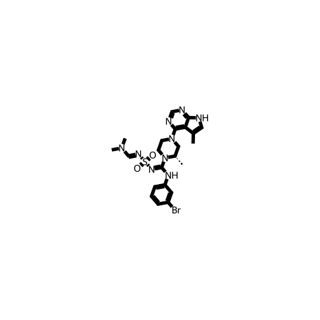 Cc1c[nH]c2ncnc(N3CCN(/C(=N\S(=O)(=O)/N=C/N(C)C)Nc4cccc(Br)c4)[C@@H](C)C3)c12